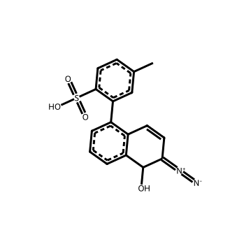 Cc1ccc(S(=O)(=O)O)c(-c2cccc3c2C=CC(=[N+]=[N-])C3O)c1